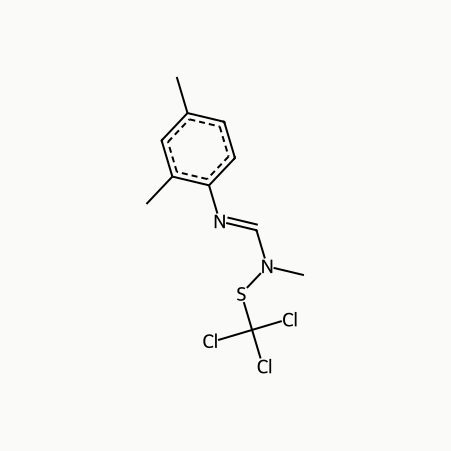 Cc1ccc(N=CN(C)SC(Cl)(Cl)Cl)c(C)c1